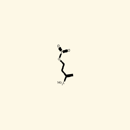 C=C(CCOP(=O)=O)C(=O)O